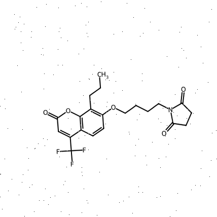 CCCc1c(OCCCCN2C(=O)CCC2=O)ccc2c(C(F)(F)F)cc(=O)oc12